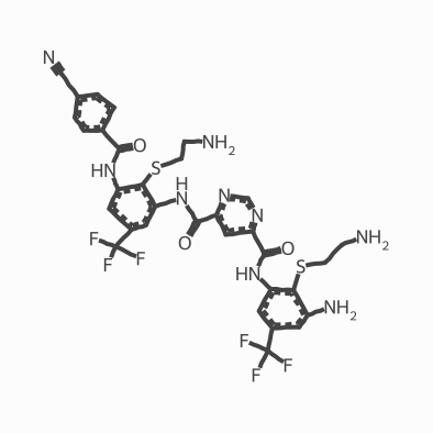 N#Cc1ccc(C(=O)Nc2cc(C(F)(F)F)cc(NC(=O)c3cc(C(=O)Nc4cc(C(F)(F)F)cc(N)c4SCCN)ncn3)c2SCCN)cc1